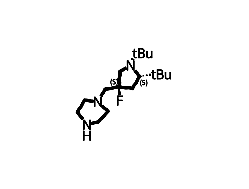 CC(C)(C)[C@@H]1C[C@](F)(CN2CCNCC2)CN1C(C)(C)C